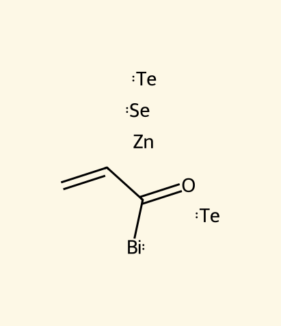 C=C[C](=O)[Bi].[Se].[Te].[Te].[Zn]